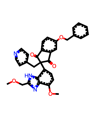 COCc1nc2c(OC)ccc(C3(Cc4ccncc4)C(=O)c4ccc(OCc5ccccc5)cc4C3=O)c2[nH]1